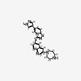 Cn1cc(-c2ccc3nnc(Sc4ccc5ncc(N6CCCNCC6)cc5c4)n3c2)cn1